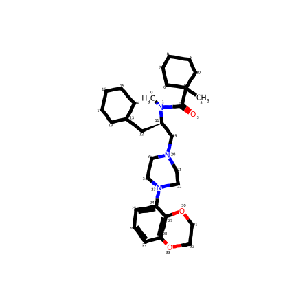 CN(C(=O)C1(C)CCCCC1)[C@H](CC1CCCCC1)CN1CCN(c2cccc3c2OCCO3)CC1